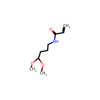 C=CC(=O)NCCCC(OC)OC